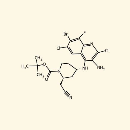 CC(C)(C)OC(=O)N1CC[C@H](Nc2c(N)c(Cl)nc3c(F)c(Br)c(Cl)cc23)C[C@H]1CC#N